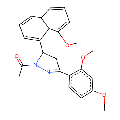 COC1=CC=CC2C=CC=C(C3CC(c4ccc(OC)cc4OC)=NN3C(C)=O)C12